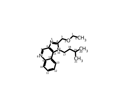 CCOCc1nc2cnc3ccccc3c2n1CCC(C)C